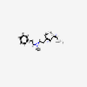 C=C/C(=C\C=C/C)CCN(CC)CCc1ccccc1